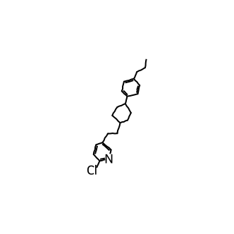 CCCc1ccc(C2CCC(CCc3ccc(Cl)nc3)CC2)cc1